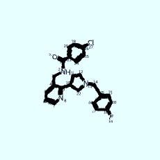 O=C(NCc1cccnc1C1CCN(Cc2ccc(F)cc2)C1)c1ccc(Cl)cc1